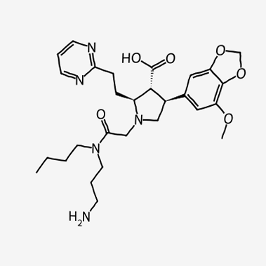 CCCCN(CCCN)C(=O)CN1C[C@H](c2cc(OC)c3c(c2)OCO3)[C@@H](C(=O)O)[C@@H]1CCc1ncccn1